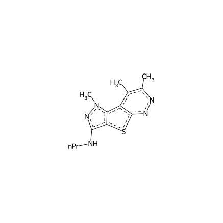 CCCNc1nn(C)c2c1sc1nnc(C)c(C)c12